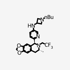 CCCCN1CC(Nc2ccc([C@@H]3c4cc5c(cc4C[C@@H](C)N3CC(F)(F)F)OCO5)nc2)C1